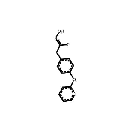 ON=C(Cl)Cc1ccc(Oc2ccccn2)cc1